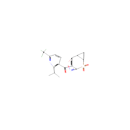 C.CC(C)c1nc(C(F)(F)F)ccc1C(=O)c1c2noc1C1CC1S2(=O)=O